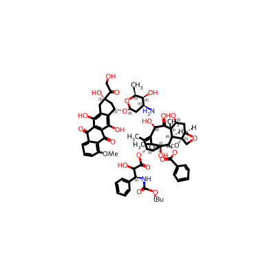 CC(=O)O[C@@]12CO[C@@H]1C[C@H](O)[C@@]1(C)C(=O)[C@H](O)C3=C(C)[C@@H](OC(=O)C(O)[C@@H](NC(=O)OC(C)(C)C)c4ccccc4)C[C@@](O)([C@@H](OC(=O)c4ccccc4)[C@H]21)C3(C)C.COc1cccc2c1C(=O)c1c(O)c3c(c(O)c1C2=O)C[C@@](O)(C(=O)CO)C[C@@H]3O[C@H]1C[C@H](N)[C@H](O)[C@H](C)O1